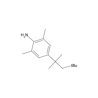 Cc1cc(C(C)(C)CC(C)(C)C)cc(C)c1N